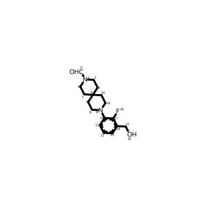 O=CN1CCC2(CC1)CCN(c1cccc(CO)c1F)CC2